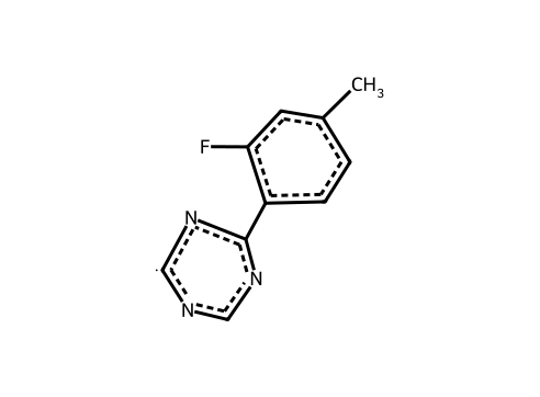 Cc1ccc(-c2n[c]ncn2)c(F)c1